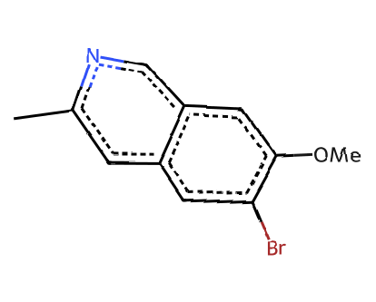 COc1cc2cnc(C)cc2cc1Br